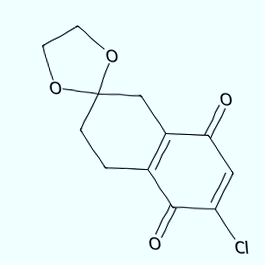 O=C1C=C(Cl)C(=O)C2=C1CC1(CC2)OCCO1